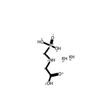 O=C(O)CNCP(=O)(O)O.[KH].[KH]